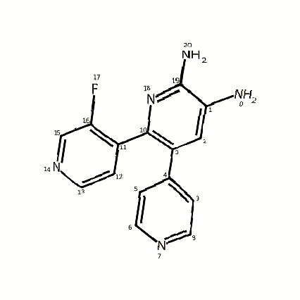 Nc1cc(-c2ccncc2)c(-c2ccncc2F)nc1N